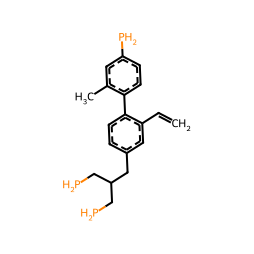 C=Cc1cc(CC(CP)CP)ccc1-c1ccc(P)cc1C